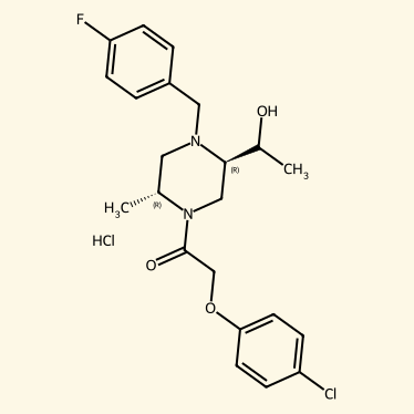 CC(O)[C@H]1CN(C(=O)COc2ccc(Cl)cc2)[C@H](C)CN1Cc1ccc(F)cc1.Cl